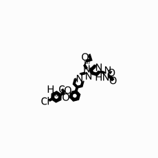 CC1(c2ccc(Cl)cc2)Oc2cccc(C3CCN(Cc4nc5cc(-c6noc(=O)[nH]6)ncc5n4C[C@@H]4CCO4)CC3)c2O1